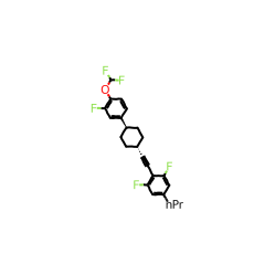 CCCc1cc(F)c(C#C[C@H]2CC[C@H](c3ccc(OC(F)F)c(F)c3)CC2)c(F)c1